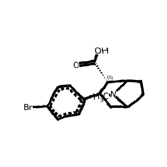 CN1C2CCC1[C@@H](C(=O)O)C(c1ccc(Br)cc1)C2